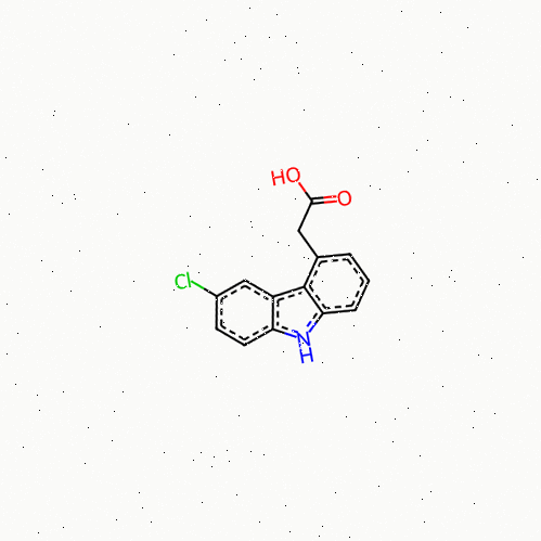 O=C(O)Cc1cccc2[nH]c3ccc(Cl)cc3c12